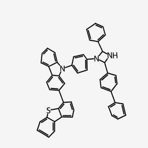 c1ccc(-c2ccc(C3NC(c4ccccc4)N3c3ccc(-n4c5ccccc5c5ccc(-c6cccc7c6sc6ccccc67)cc54)cc3)cc2)cc1